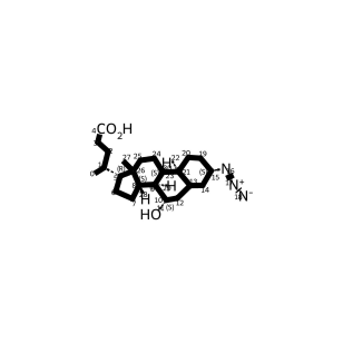 CC(CCC(=O)O)[C@H]1CC[C@H]2[C@@H]3[C@@H](O)CC4C[C@@H](N=[N+]=[N-])CC[C@]4(C)[C@H]3CCC12C